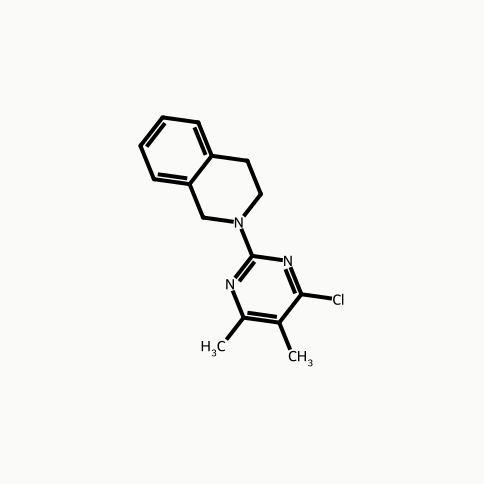 Cc1nc(N2CCc3ccccc3C2)nc(Cl)c1C